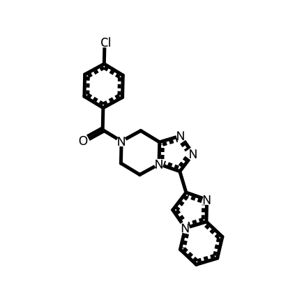 O=C(c1ccc(Cl)cc1)N1CCn2c(nnc2-c2cn3ccccc3n2)C1